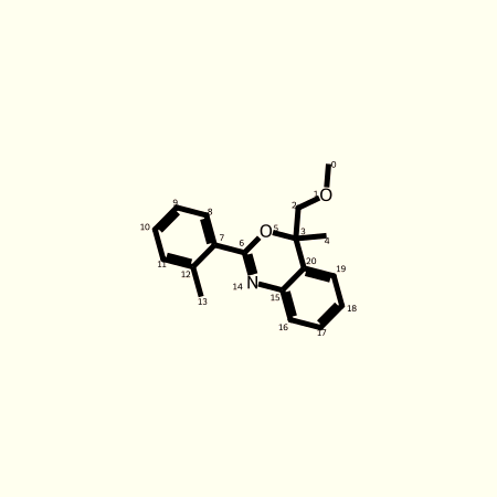 COCC1(C)OC(c2ccccc2C)=Nc2ccccc21